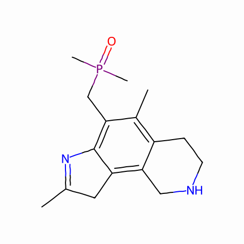 CC1=Nc2c(CP(C)(C)=O)c(C)c3c(c2C1)CNCC3